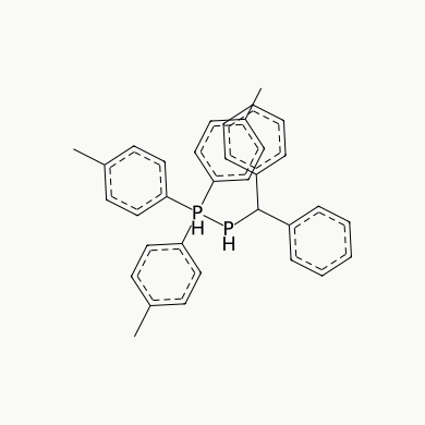 Cc1ccc([PH](PC(c2ccccc2)c2ccccc2)(c2ccc(C)cc2)c2ccc(C)cc2)cc1